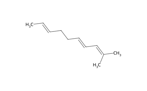 CC=CCCC=CC=C(C)C